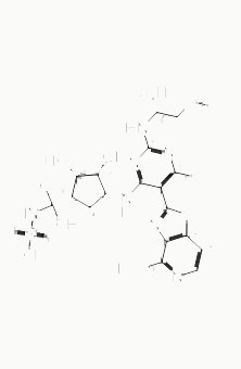 COC[C@@H](C)Nc1nc(C)c(-c2nc3c(C)nccc3s2)c(N[C@@H]2C[C@H](C(C)(C)NS(C)(=O)=O)[C@@H](O)[C@H]2O)n1